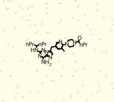 CCCC(=O)N1CCN(c2ncc(Cc3cnc4c(N)nc(NC(CCC)CCC)nn34)cc2C)CC1